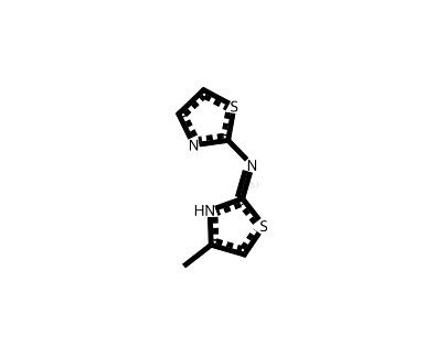 Cc1cs/c(=N/c2nccs2)[nH]1